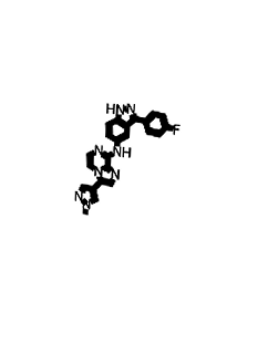 Cn1cc(-c2cnc3c(Nc4ccc5[nH]nc(-c6ccc(F)cc6)c5c4)nccn23)cn1